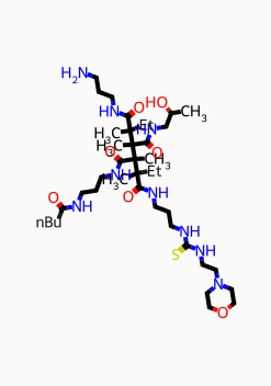 CCCCC(=O)NCCCNC(=O)C(C)(C(C)(CC)C(=O)NCCCNC(=S)NCCN1CCOCC1)C(C)(C(=O)NCC(C)O)C(C)(CC)C(=O)NCCCN